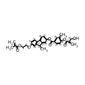 C=C(C)C(=O)OCCOc1ccc2c(c1)C(C)c1cc(OC(=O)c3ccc(OC(=O)C(=C)CO)c(C)c3)ccc1-2